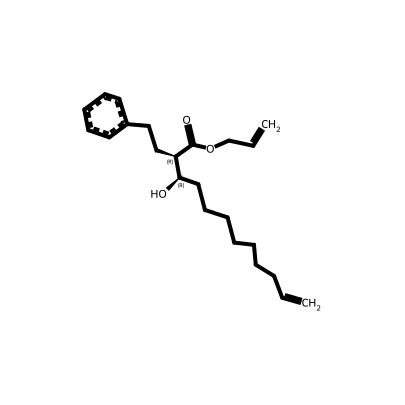 C=CCCCCCCC[C@@H](O)[C@@H](CCc1ccccc1)C(=O)OCC=C